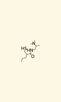 CCCC(CS)C(=O)NCC(C)N(C)C